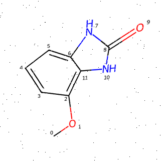 COc1cccc2[nH]c(=O)[nH]c12